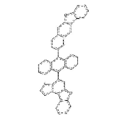 c1ccc2c(c1)oc1cc3ccc(-c4c5ccccc5c(-c5cc6oc7ccccc7c6c6ccsc56)c5ccccc45)cc3cc12